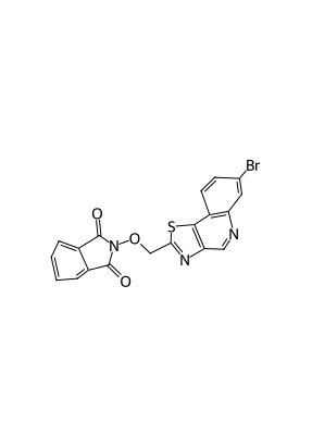 O=C1c2ccccc2C(=O)N1OCc1nc2cnc3cc(Br)ccc3c2s1